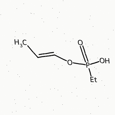 CC=COP(=O)(O)CC